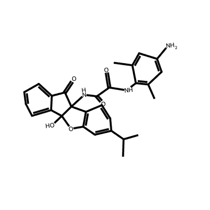 Cc1cc(N)cc(C)c1NC(=O)C(=O)NC12C(=O)c3ccccc3C1(O)Oc1cc(C(C)C)ccc12